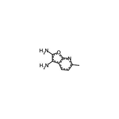 Cc1ccc2c(N)c(N)oc2n1